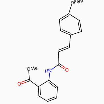 CCCCCc1ccc(C=CC(=O)Nc2ccccc2C(=O)OC)cc1